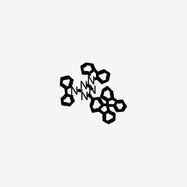 c1ccc2c(c1)-c1ccccc1C21c2ccccc2-c2ccc(-c3nc(-n4c5ccccc5c5ccccc54)nc(-n4c5ccccc5c5ccccc54)n3)cc21